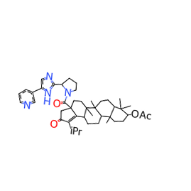 CC(=O)OC1CCC2(C)C(CCC3(C)C2CCC2C4=C(C(C)C)C(=O)CC4(C(=O)N4CCCC4c4ncc(-c5cccnc5)[nH]4)CCC23C)C1(C)C